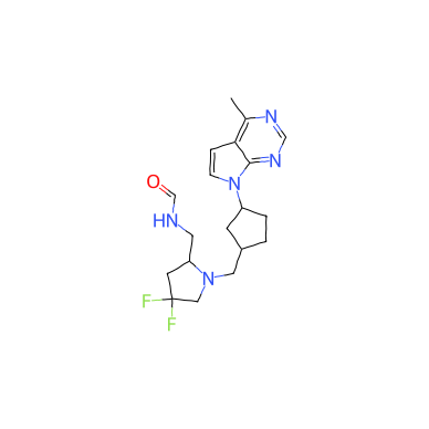 Cc1ncnc2c1ccn2C1CCC(CN2CC(F)(F)CC2CNC=O)C1